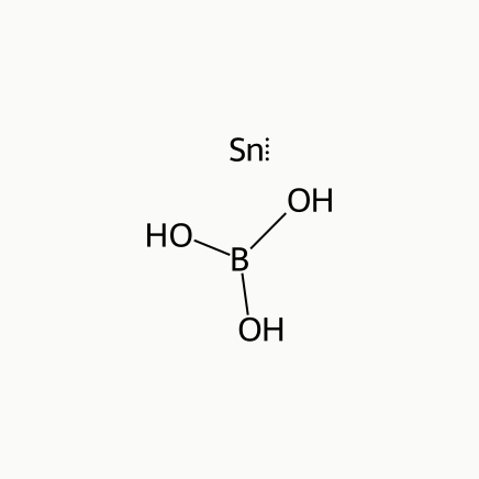 OB(O)O.[Sn]